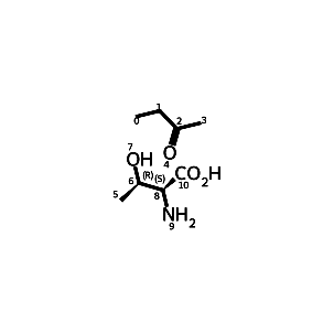 CCC(C)=O.C[C@@H](O)[C@H](N)C(=O)O